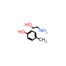 Cc1ccc(O)cc1.NCCO